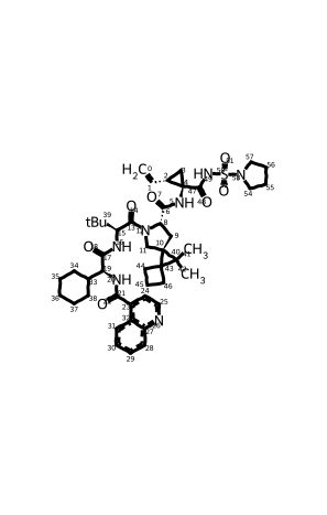 C=C[C@@H]1C[C@]1(NC(=O)[C@@H]1C[C@@]2(CN1C(=O)[C@@H](NC(=O)[C@@H](NC(=O)c1ccnc3ccccc13)C1CCCCC1)C(C)(C)C)C(C)(C)C21CCC1)C(=O)NS(=O)(=O)N1CCCC1